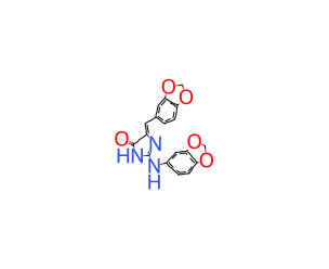 O=C1NC(Nc2ccc3c(c2)OCO3)=N/C1=C\c1ccc2c(c1)OCO2